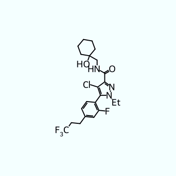 CCn1nc(C(=O)NCC2(O)CCCCC2)c(Cl)c1-c1ccc(CCC(F)(F)F)cc1F